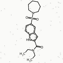 CCN(CC)C(=O)c1cc2cc(S(=O)(=O)N3CCCCCC3)ccc2[nH]1